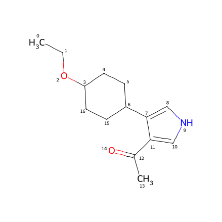 CCOC1CCC(c2c[nH]cc2C(C)=O)CC1